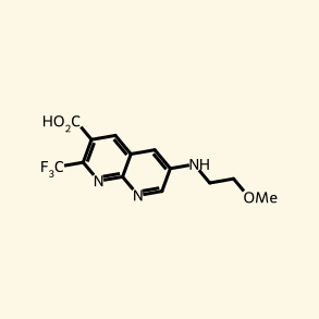 COCCNc1cnc2nc(C(F)(F)F)c(C(=O)O)cc2c1